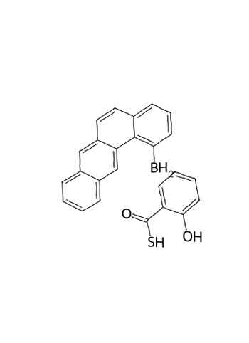 Bc1cccc2ccc3cc4ccccc4cc3c12.O=C(S)c1ccccc1O